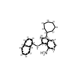 Nc1ncnc2c1c(Sc1cccc3ccccc13)nn2C1CCCCCC1